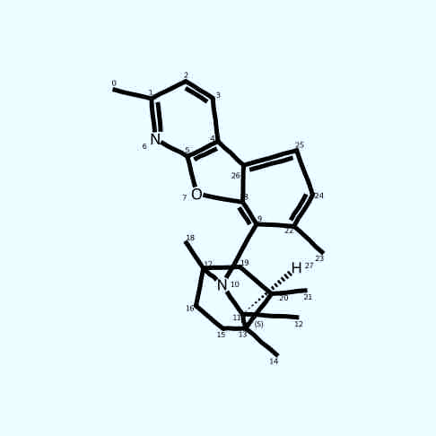 Cc1ccc2c(n1)oc1c(N3[C@@H](C)C4(C)CCC3(C)CC4C)c(C)ccc12